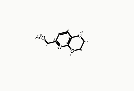 CC(=O)OCc1ccc2c(n1)OCCO2